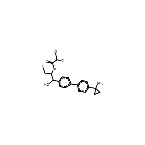 NC1(c2ccc(-c3ccc(C(O)C(CF)NC(=O)C(Cl)Cl)cc3)cc2)CC1